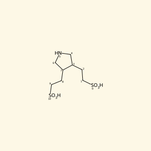 O=S(=O)(O)CCC1CNCC1CCS(=O)(=O)O